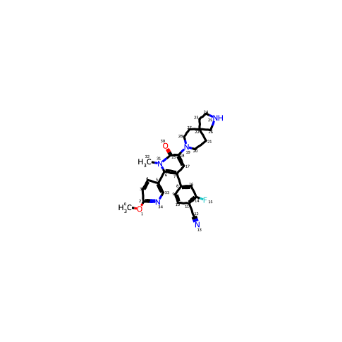 COc1ccc(-c2c(-c3ccc(C#N)c(F)c3)cc(N3CCC4(CCNC4)CC3)c(=O)n2C)cn1